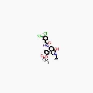 CC(=O)Oc1cccc([C@@]23CCN(CC4CC4)C[C@@]2(O)CC[C@H](NC(=O)Cc2ccc(Cl)c(Cl)c2)C3)c1